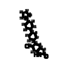 O=C1Cc2cc(-c3ccc(-c4ccc(-n5cccn5)cc4)cc3)c(Cl)cc2N1